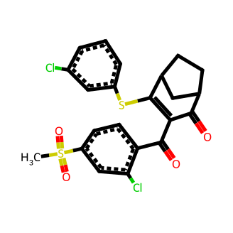 CS(=O)(=O)c1ccc(C(=O)C2=C(Sc3cccc(Cl)c3)C3CCC(C3)C2=O)c(Cl)c1